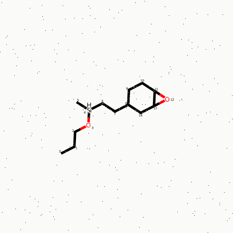 CCCO[SiH](C)CCC1CCC2OC2C1